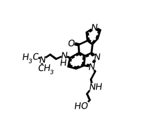 CN(C)CCNc1ccc2c3c(nn2CCNCCO)-c2ccncc2C(=O)c13